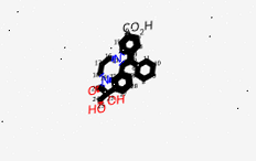 O=C(O)c1ccc2c(C3CCCCC3)c3n(c2c1)CCCN1C(=O)[C@](O)(CO)c2cccc-3c21